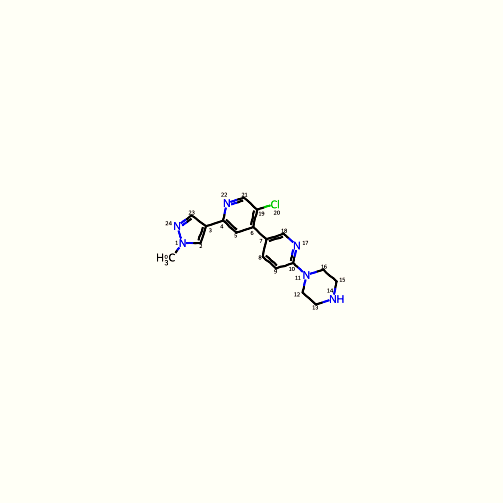 Cn1cc(-c2cc(-c3ccc(N4CCNCC4)nc3)c(Cl)cn2)cn1